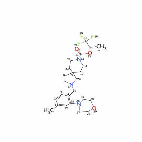 Cc1ccc(CN2CCC3(CCN(C(=O)OC(C)C(F)(F)F)CC3)C2)c(N2CCOCC2)c1